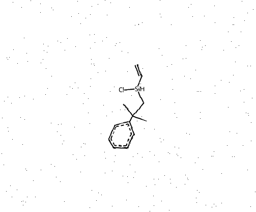 C=C[SiH](Cl)CC(C)(C)c1ccccc1